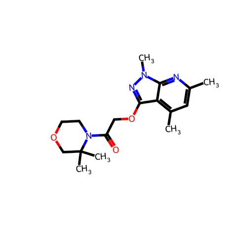 Cc1cc(C)c2c(OCC(=O)N3CCOCC3(C)C)nn(C)c2n1